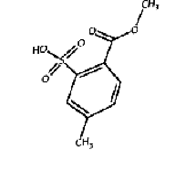 COC(=O)c1ccc(C)cc1S(=O)(=O)O